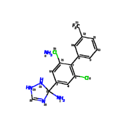 N.NC1(c2cc(Cl)c(-c3cccc(C(F)(F)F)c3)c(Cl)c2)N=CNN1